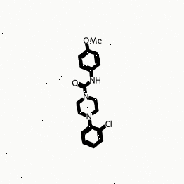 COc1ccc(NC(=O)N2CCN(c3ccccc3Cl)CC2)cc1